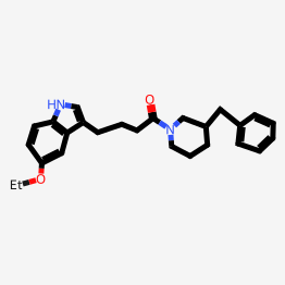 CCOc1ccc2[nH]cc(CCCC(=O)N3CCCC(Cc4ccccc4)C3)c2c1